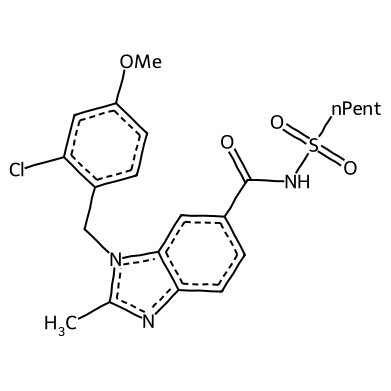 CCCCCS(=O)(=O)NC(=O)c1ccc2nc(C)n(Cc3ccc(OC)cc3Cl)c2c1